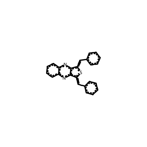 C(/c1ccccc1)=c1/s/c(=C\c2ccccc2)c2nc3ccccc3nc12